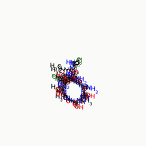 CCC(C)C=CC=CC(=O)N[C@@H](Cc1c[nH]c2cc(Cl)ccc12)C(=O)N[C@H](CC(N)=O)C(=O)N[C@@H](CC(=O)O)C(=O)N[C@@H]1C(=O)NCC(=O)N[C@@H](CCCN)C(=O)N[C@@H](CC(=O)O)C(=O)N[C@H](C)C(=O)N[C@@H](CC(=O)O)C(=O)NCC(=O)N[C@H](C)C(=O)N[C@@H]([C@H](C)CC(=O)O)C(=O)N[C@@H](CC(=O)c2ccc(Cl)cc2N)C(=O)O[C@@H]1C